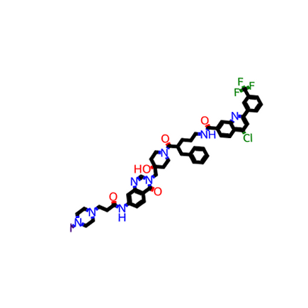 O=C(CCN1CCN(I)CC1)Nc1ccc2c(=O)n(CC3(O)CCN(C(=O)C(CCCNC(=O)c4ccc5c(Cl)cc(-c6cccc(C(F)(F)F)c6)nc5c4)Cc4ccccc4)CC3)cnc2c1